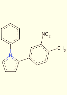 Cc1ccc(-c2cccn2-c2ccccc2)cc1[N+](=O)[O-]